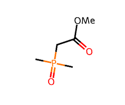 COC(=O)CP(C)(C)=O